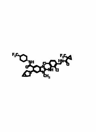 Cn1c(Nc2c(Cl)ccc(CNC(=O)C3(C(F)(F)F)CC3)c2Cl)nc2cc(C(=O)N[C@H]3CC[C@H](C(F)(F)F)CC3)c(N3CC4CC4C3)cc21